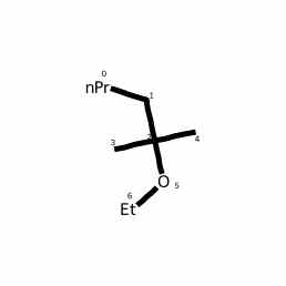 CCCCC(C)(C)OCC